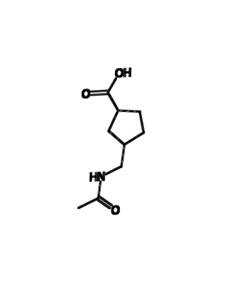 CC(=O)NCC1CCC(C(=O)O)C1